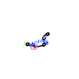 O=C(NCC#Cc1ccc2ncnc(NC3CCN(Cc4ccccc4)CC3)c2c1)c1cncn(Cc2ccc(F)c(F)c2)c1=O